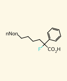 CCCCCCCCCCCCCC(F)(C(=O)O)c1ccccc1